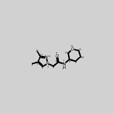 Cc1cn(CC(=O)NC2CCCOC2)nc1C